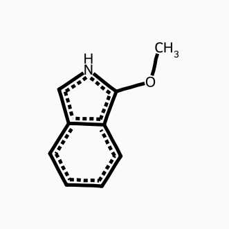 COc1[nH]cc2ccccc12